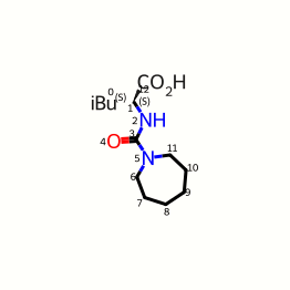 CC[C@H](C)[C@H](NC(=O)N1CCCCCC1)C(=O)O